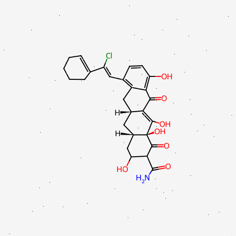 NC(=O)C1C(=O)[C@@]2(O)C(O)=C3C(=O)c4c(O)ccc(/C=C(\Cl)C5=CCCCC5)c4C[C@H]3C[C@H]2CC1O